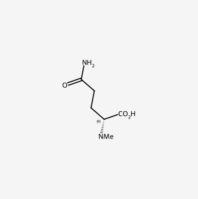 CN[C@H](CCC(N)=O)C(=O)O